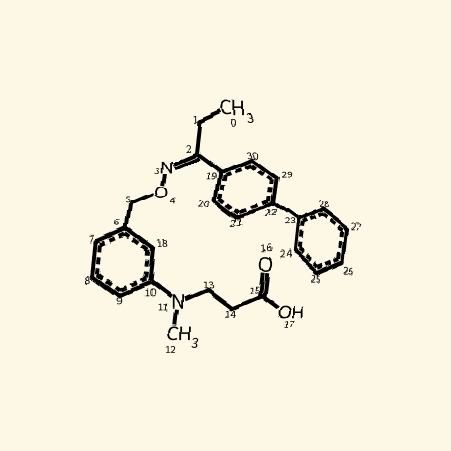 CCC(=NOCc1cccc(N(C)CCC(=O)O)c1)c1ccc(-c2ccccc2)cc1